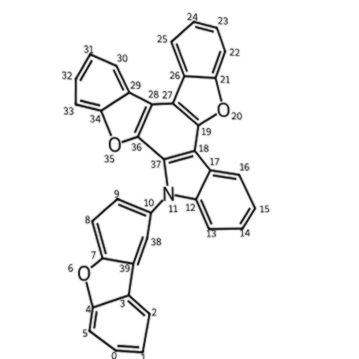 c1ccc2c(c1)oc1ccc(-n3c4ccccc4c4c5oc6ccccc6c5c5c6ccccc6oc5c43)cc12